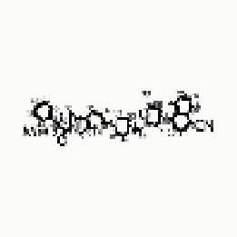 CO[C@](C(=O)N1Cc2nc(N3CCN(C[C@H]4CN(c5ccc(C#N)c6ncccc56)C[C@@H](C)O4)CC3)ccc2[C@@H]1C)(c1ccccc1)C(F)(F)F